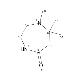 CN1CCNC(=O)CC1(C)C